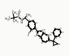 CC(N[S@+]([O-])C(C)(C)C)c1ccc(-c2nc3ccc(C4(c5ccccc5)CC4)nc3s2)c(F)c1